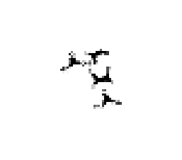 FC(F)=C(F)F.FC=C(F)F.O=C(O)O.O=C(O)O